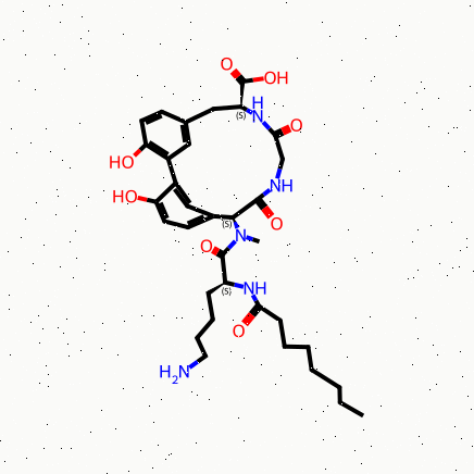 CCCCCCCC(=O)N[C@@H](CCCCN)C(=O)N(C)[C@@H]1C(=O)NCC(=O)N[C@H](C(=O)O)Cc2ccc(O)c(c2)-c2cc1ccc2O